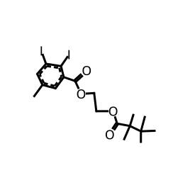 Cc1cc(I)c(I)c(C(=O)OCCOC(=O)C(C)(C)C(C)(C)C)c1